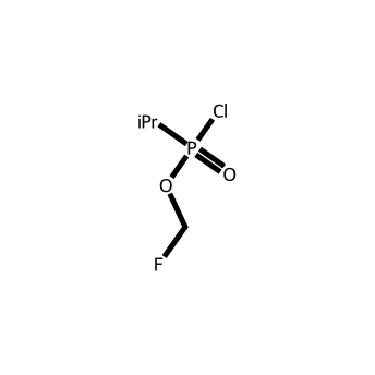 CC(C)P(=O)(Cl)OCF